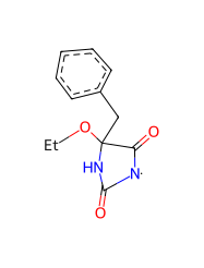 CCOC1(Cc2ccccc2)NC(=O)[N]C1=O